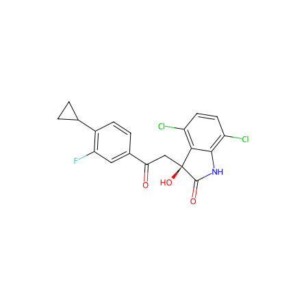 O=C(C[C@@]1(O)C(=O)Nc2c(Cl)ccc(Cl)c21)c1ccc(C2CC2)c(F)c1